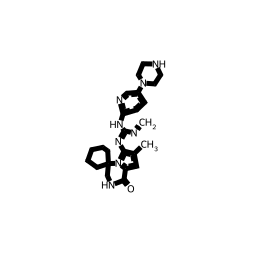 C=N/C(=N\c1c(C)cc2n1C1(CCCCC1)CNC2=O)Nc1ccc(N2CCNCC2)cn1